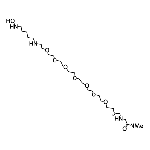 CNC(=O)CNCOCCOCCOCCOCCOCCOCCOCCOCCNCCCCCNO